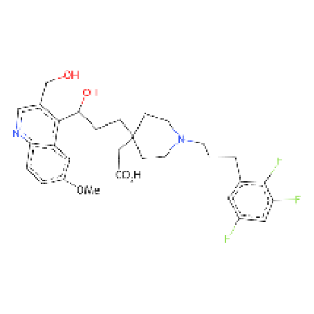 COc1ccc2ncc(CO)c(C(O)CCC3(CC(=O)O)CCN(CCCc4cc(F)cc(F)c4F)CC3)c2c1